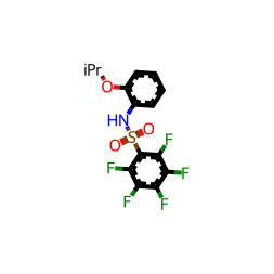 CC(C)Oc1ccccc1NS(=O)(=O)c1c(F)c(F)c(F)c(F)c1F